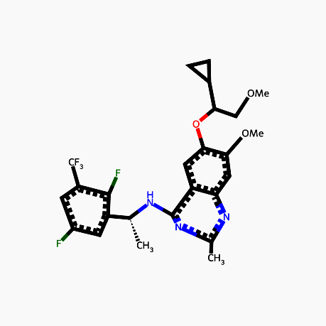 COCC(Oc1cc2c(N[C@H](C)c3cc(F)cc(C(F)(F)F)c3F)nc(C)nc2cc1OC)C1CC1